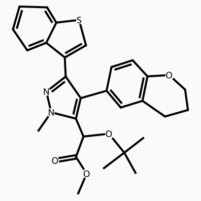 COC(=O)C(OC(C)(C)C)c1c(-c2ccc3c(c2)CCCO3)c(-c2csc3ccccc23)nn1C